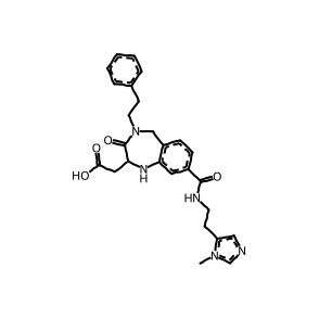 Cn1cncc1CCNC(=O)c1ccc2c(c1)NC(CC(=O)O)C(=O)N(CCc1ccccc1)C2